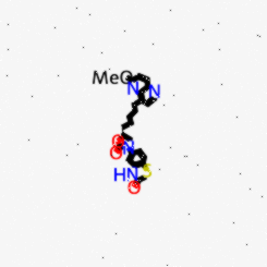 COc1ccc2nccc(CCCCC[C@@H]3CN(c4ccc5c(c4)NC(=O)CS5)C(=O)O3)c2n1